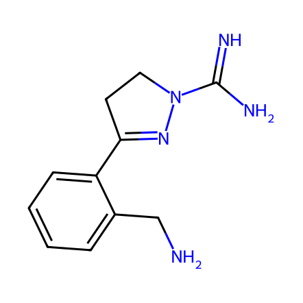 N=C(N)N1CCC(c2ccccc2CN)=N1